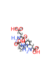 NC(Cc1ccc(OC(=O)C(N)CCC(=O)O)cc1)C(=O)O.O=C(O)[C@@H]1CCCN1